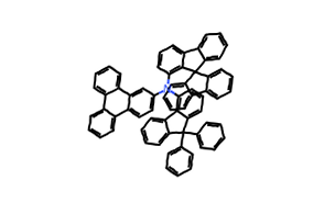 c1ccc(C2(c3ccccc3)c3ccccc3-c3c(N(c4ccc5c6ccccc6c6ccccc6c5c4)c4cccc5c4C4(c6ccccc6-c6ccccc64)c4ccccc4-5)cccc32)cc1